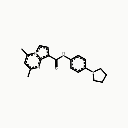 Cc1cc(C)n2ccc(C(=O)Nc3ccc(N4CCCC4)cc3)c2n1